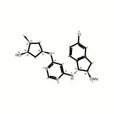 CO[C@@H]1Cc2cc(Cl)ccc2[C@H]1Nc1cc(O[C@H]2C[C@@H](O)[C@@H](C)C2)ncn1